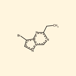 CCc1n[c]n2ncc(Br)c2n1